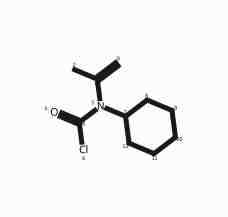 C=C(C)N(C(=O)Cl)C1CCCCC1